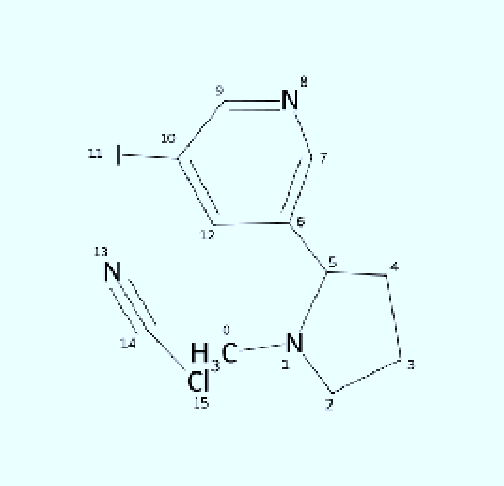 CN1CCCC1c1cncc(I)c1.N#CCl